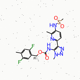 Cc1cc(F)c([C@@H](C)OC(=O)Nc2c(-c3ccc(NS(C)(=O)=O)c(C)n3)nnn2C)cc1F